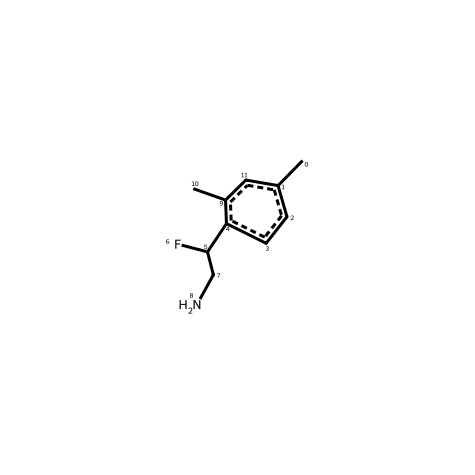 Cc1ccc(C(F)CN)c(C)c1